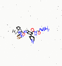 CN(c1cscn1)[C@@H](Cc1ccccc1)C(=O)N1CCc2c(C(=O)NCC(N)=O)cc(-c3ccncc3)cc21